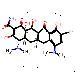 CC(C)c1cc(N(C)C)c2c(c1O)C(=O)C1C(O)[C@]3(O)C(=O)C(C(N)=O)=C(O)[C@@H](N(C)C)[C@@H]3C[C@@H]1C2